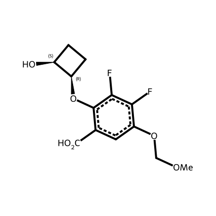 COCOc1cc(C(=O)O)c(O[C@@H]2CC[C@@H]2O)c(F)c1F